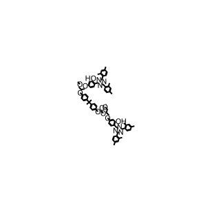 COCC(COc1ccc(-c2nc(-c3ccc(C)cc3C)nc(-c3ccc(C)cc3C)n2)c(O)c1)OC(=O)Oc1ccc(C(C)(C)c2ccc(OC(COC)COc3ccc(-c4nc(-c5ccc(C)cc5C)nc(-c5ccc(C)cc5C)n4)c(O)c3)cc2)cc1